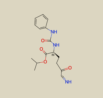 CC(C)OC(=O)[C@H](CCC(=O)C=N)NC(=O)Nc1ccccc1